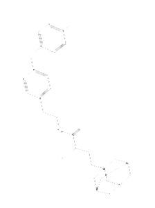 CCOC(=O)c1ccc(Oc2ccc(CCNC(=O)C(O)CCC34CC5CC(CC(C5)C3)C4)cc2)cc1